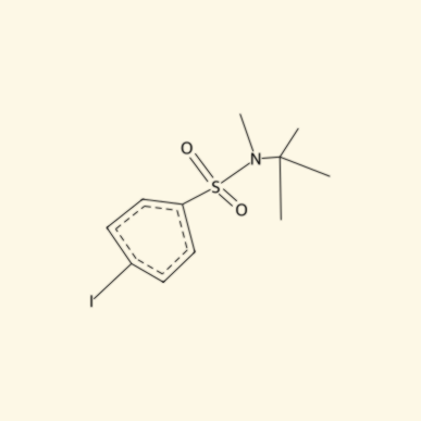 CN(C(C)(C)C)S(=O)(=O)c1ccc(I)cc1